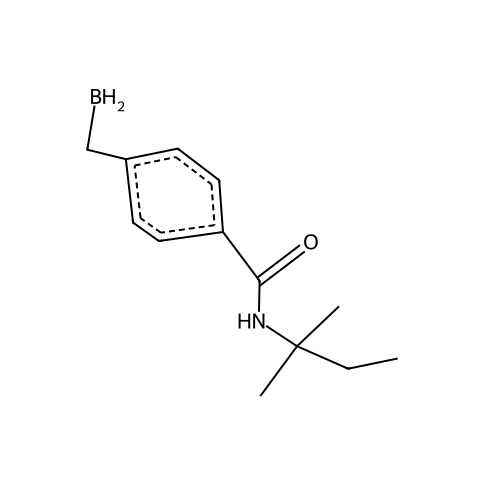 BCc1ccc(C(=O)NC(C)(C)CC)cc1